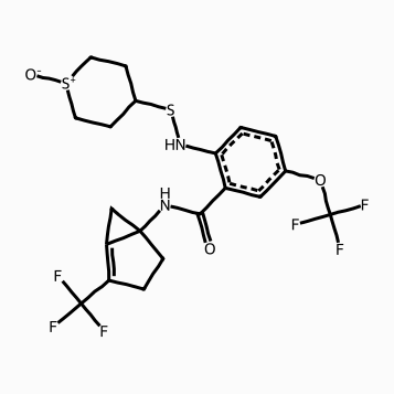 O=C(NC12CCC(C(F)(F)F)=C1C2)c1cc(OC(F)(F)F)ccc1NSC1CC[S+]([O-])CC1